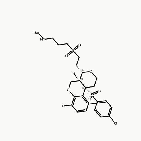 CC(C)(C)NCCCS(=O)(=O)CC[C@@H]1OCC[C@@]2(S(=O)(=O)c3ccc(Cl)cc3)c3c(F)ccc(F)c3OC[C@@H]12